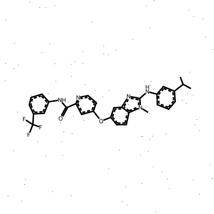 CC(C)c1cccc(Nc2nc3cc(Oc4ccnc(C(=O)Nc5cccc(C(F)(F)F)c5)c4)ccc3n2C)c1